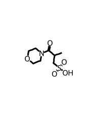 CC(CS(=O)(=O)O)C(=O)N1CCOCC1